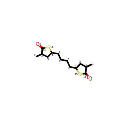 CC1CC(CCCCC2CC(C)C(=O)S2)SC1=O